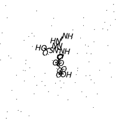 CNCCNc1nc(Nc2ccc(S(=O)(=O)CCOS(=O)(=O)O)cc2)nc(SCC(=O)O)n1